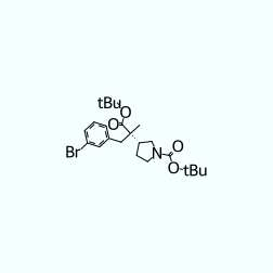 CC(C)(C)OC(=O)N1CC[C@H](C(C)(Cc2cccc(Br)c2)C(=O)OC(C)(C)C)C1